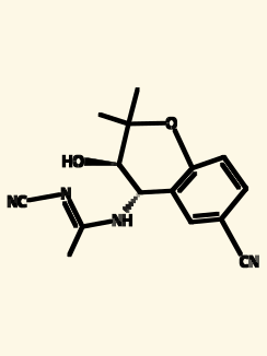 CC(=NC#N)N[C@H]1c2cc(C#N)ccc2OC(C)(C)[C@@H]1O